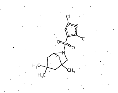 CC1(C)CC2CC(C)(CN2S(=O)(=O)c2cc(Cl)sc2Cl)C1